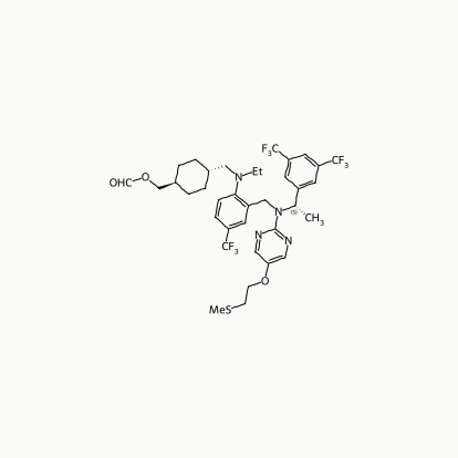 CCN(C[C@H]1CC[C@H](COC=O)CC1)c1ccc(C(F)(F)F)cc1CN(c1ncc(OCCSC)cn1)[C@@H](C)c1cc(C(F)(F)F)cc(C(F)(F)F)c1